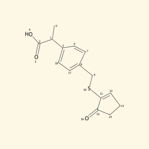 CC(C(=O)O)c1ccc(CSC2=CCCC2=O)cc1